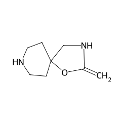 C=C1NCC2(CCNCC2)O1